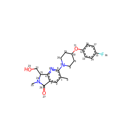 Cc1cc2c(nc1N1CCC(Oc3ccc(F)cc3)CC1)C(CO)N(C)C2=O